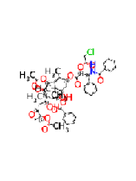 CC(=O)O[C@H]1C(=O)[C@](C)([C@@H](O)C[C@H]2OC[C@@H]2OC(C)=O)C[C@H](OC(=O)c2ccccc2)[C@]2(O)C[C@H](OC(=O)[C@H](OC(=O)CCl)[C@@H](NC(=O)c3ccccc3)c3ccccc3)C(C)=C1C2(C)C